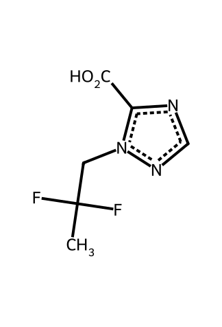 CC(F)(F)Cn1ncnc1C(=O)O